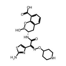 Nc1nc(/C(=N/OC2CCNCC2)C(=O)N[C@H]2Cc3cccc(C(=O)O)c3OB2O)cs1